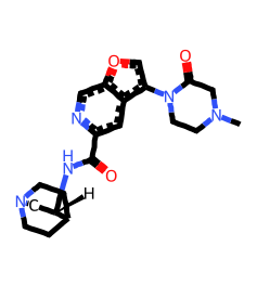 CN1CCN(c2coc3cnc(C(=O)N[C@H]4CN5CCC4CC5)cc23)C(=O)C1